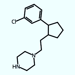 Clc1cccc(C2CCCC2CCN2CCNCC2)c1